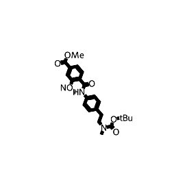 COC(=O)c1ccc(C(=O)Nc2ccc(CCN(C)C(=O)OC(C)(C)C)cc2)c([N+](=O)[O-])c1